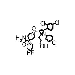 NC(=O)C1(N2CCC(F)(F)CC2)CCN(C(=O)c2cc(-c3ccc(Cl)cc3Cl)n(-c3ccc(Cl)cc3)c2CCCO)CC1